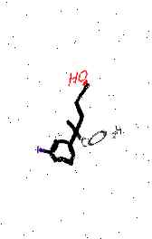 CC(CCCO)(C(=O)O)c1cccc(I)c1